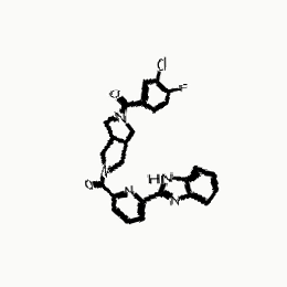 O=C(c1ccc(F)c(Cl)c1)N1CC2CN(C(=O)c3cccc(-c4nc5ccccc5[nH]4)n3)CC2C1